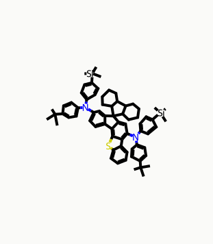 CC(C)(C)c1ccc(N(c2ccc([Si](C)(C)C)cc2)c2ccc3c(c2)C2(c4cc(N(c5ccc(C(C)(C)C)cc5)c5ccc([Si](C)(C)C)cc5)c5c(sc6ccccc65)c4-3)C3CCCCC3C3CCCCC32)cc1